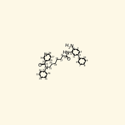 Nc1ccc(-c2ccccc2)cc1NC(=O)CCCCCCN(C(=O)c1cccnc1)c1ccccc1